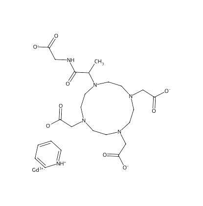 CC(C(=O)NCC(=O)[O-])N1CCN(CC(=O)[O-])CCN(CC(=O)[O-])CCN(CC(=O)[O-])CC1.[Gd+3].c1cc[nH+]cc1